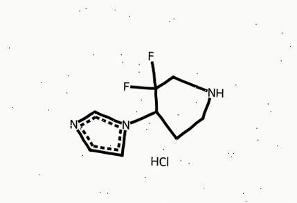 Cl.FC1(F)CNCCC1n1ccnc1